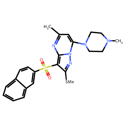 CSc1nn2c(N3CCN(C)CC3)cc(C)nc2c1S(=O)(=O)c1ccc2ccccc2c1